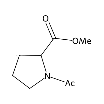 COC(=O)C1[CH]CCN1C(C)=O